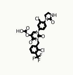 O=C(O)Oc1cn(-c2ccc(N3CCNC3=O)c(Cl)c2)c(=O)n(Cc2cccc(C(F)(F)F)c2Cl)c1=O